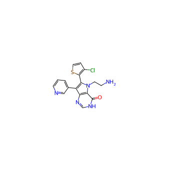 NCCn1c(-c2sccc2Cl)c(-c2cccnc2)c2nc[nH]c(=O)c21